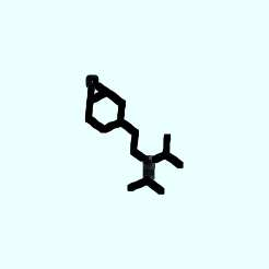 CC(C)[SiH](CCC1CCC2OC2C1)C(C)C